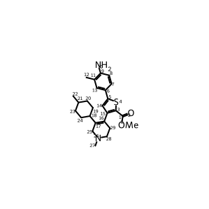 COC(=O)c1sc(-c2ccc(N)c(C)c2)cc1C1=C(C2CCC(C)CC2)CN(C)CC1